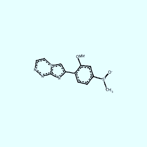 COc1cc([S+](C)[O-])ccc1-c1cn2ccnnc2n1